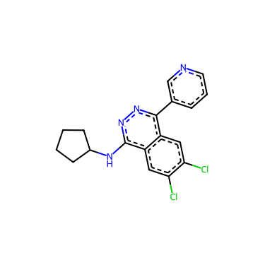 Clc1cc2c(NC3CCCC3)nnc(-c3cccnc3)c2cc1Cl